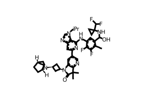 Cc1c(C(O)NC2(C(F)F)CC2)cc(Nc2nc(-c3cnc4c(c3)N([C@H]3C[C@@H](N5C[C@H]6CC[C@@H]5C6)C3)C(=O)C4(C)C)cc3ncn(C(C)C)c23)c(F)c1F